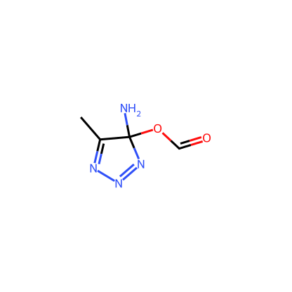 CC1=NN=NC1(N)OC=O